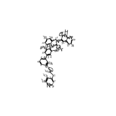 CC(C)c1cc(-c2cccc(OCCc3ccncc3)c2)cc(C(C)C)c1NC(=O)N(Cc1ccccc1)c1cc2cccnc2[nH]c1=O